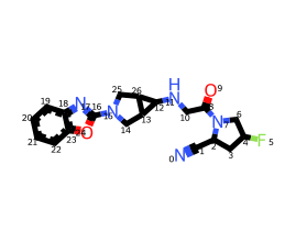 N#CC1CC(F)CN1C(=O)CNC1C2CN(c3nc4ccccc4o3)CC21